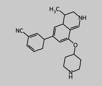 CC1CNC=C2C(OC3CCNCC3)=CC(C3C=C(C#N)C=CC3)=CC21